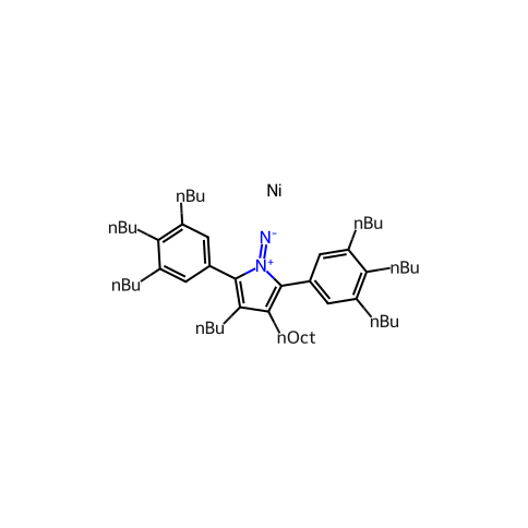 CCCCCCCCC1=C(c2cc(CCCC)c(CCCC)c(CCCC)c2)[N+](=[N-])C(c2cc(CCCC)c(CCCC)c(CCCC)c2)=C1CCCC.[Ni]